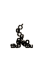 CC1CCC(Oc2ccc3c(c2)CCN3C(=O)C(CC(=O)OC(C)(C)C)NC(=O)OC(C)(C)C)CC1